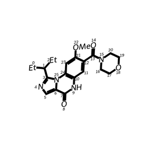 CCC(CC)c1ncc2c(=O)[nH]c3cc(C(=O)N4CCOCC4)c(OC)cc3n12